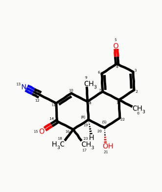 CC12C=CC(=O)C=C1C1(C)C=C(C#N)C(=O)C(C)(C)[C@@H]1[C@@H](O)C2